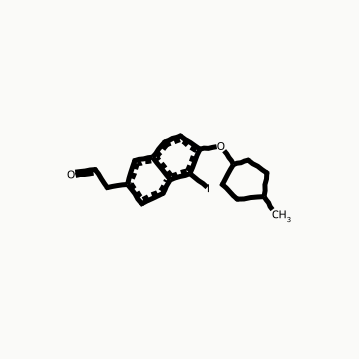 CC1CCC(Oc2ccc3cc(CC=O)ccc3c2I)CC1